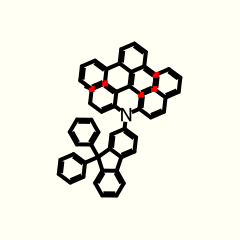 CC1C=C(c2cccc3cccc(-c4ccccc4)c23)C(N(c2ccc3c(c2)C(c2ccccc2)(c2ccccc2)c2ccccc2-3)c2ccc3ccccc3c2)=CC1